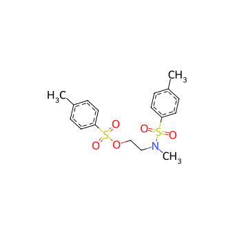 Cc1ccc(S(=O)(=O)OCCN(C)S(=O)(=O)c2ccc(C)cc2)cc1